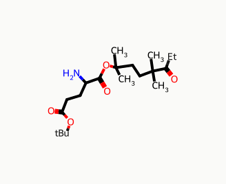 CCC(=O)C(C)(C)CCC(C)(C)OC(=O)C(N)CCC(=O)OC(C)(C)C